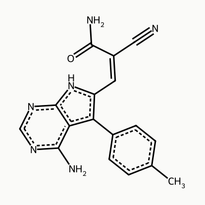 Cc1ccc(-c2c(C=C(C#N)C(N)=O)[nH]c3ncnc(N)c23)cc1